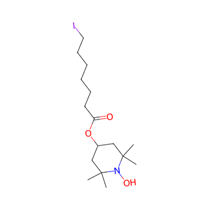 CC1(C)CC(OC(=O)CCCCCCI)CC(C)(C)N1O